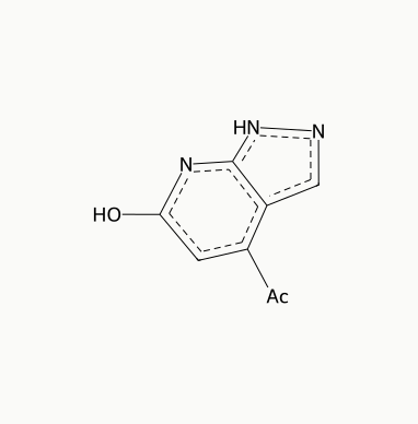 CC(=O)c1cc(O)nc2[nH]ncc12